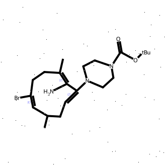 C/C1=C(N)\C(N2CCN(C(=O)OC(C)(C)C)CC2)=C\CC(C)/C=C(/Br)CC1